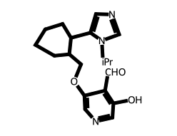 CC(C)n1cncc1C1CCCCC1COc1cncc(O)c1C=O